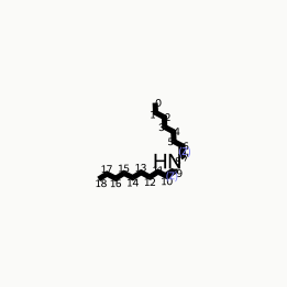 CCCCCC/C=C\N/C=C\CCCCCCCC